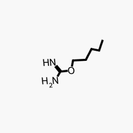 CCCCCOC(=N)N